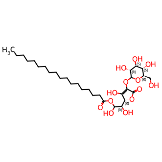 CCCCCCCCCCCCCCCCCC(=O)OC(O)[C@H](O)[C@H]1OC(=O)C(OC2O[C@H](CO)[C@@H](O)[C@H](O)[C@H]2O)=C1O